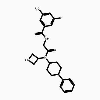 O=C(NCC(=O)N(C1CCC(c2ccccc2)CC1)C1CNC1)c1cc(F)cc(C(F)(F)F)c1